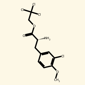 COc1ccc(C[C@@H](N)C(=O)OCC(Cl)(Cl)Cl)cc1Cl